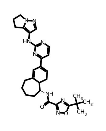 CC(C)(C)c1nc(C(=O)N[C@@H]2CCCCC3=CC(c4ccnc(Nc5cnn6c5CCC6)n4)=CCC32)no1